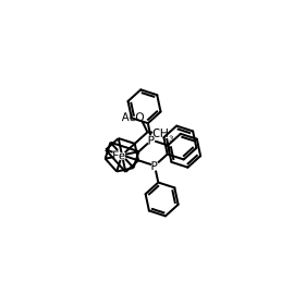 CC(=O)OC(C)[C]12[CH]3[CH]4[CH]5[C]1(P(c1ccccc1)c1ccccc1)[Fe]43521678[CH]2[CH]1[CH]6[C]7(P(c1ccccc1)c1ccccc1)[CH]28